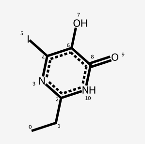 CCc1nc(I)c(O)c(=O)[nH]1